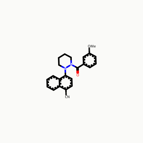 COc1cccc(C(=O)N2CCCCN2c2ccc(C#N)c3ccccc23)c1